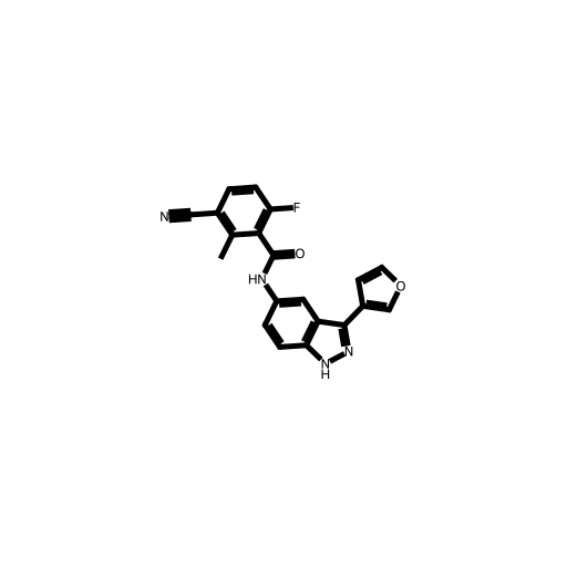 Cc1c(C#N)ccc(F)c1C(=O)Nc1ccc2[nH]nc(-c3ccoc3)c2c1